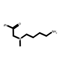 CC(C)C(=O)CN(C)CCCCN